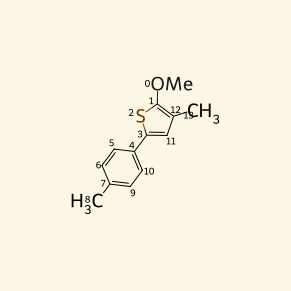 COc1sc(-c2ccc(C)cc2)cc1C